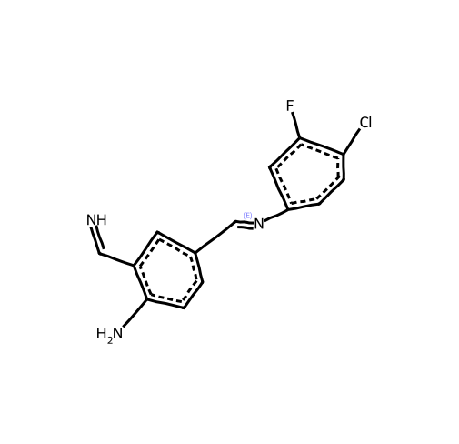 N=Cc1cc(/C=N/c2ccc(Cl)c(F)c2)ccc1N